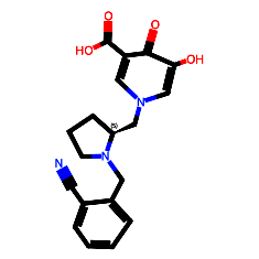 N#Cc1ccccc1CN1CCC[C@H]1Cn1cc(O)c(=O)c(C(=O)O)c1